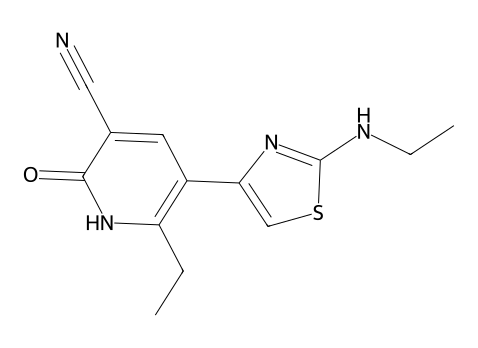 CCNc1nc(-c2cc(C#N)c(=O)[nH]c2CC)cs1